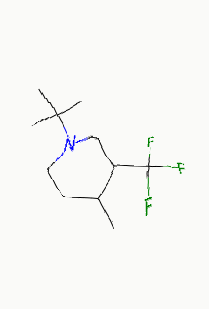 CC1CCN(C(C)(C)C)CC1C(F)(F)F